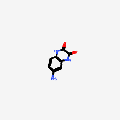 Nc1ccc2[nH]c(=O)c(=O)[nH]c2c1